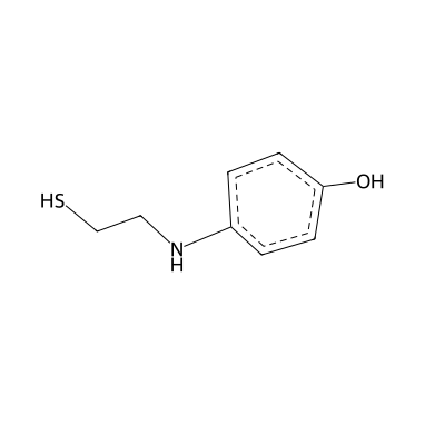 Oc1ccc(NCCS)cc1